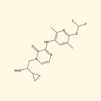 COC(Cn1ccnc(Nc2cc(C)c(OC(F)F)nc2C)c1=O)C1CC1